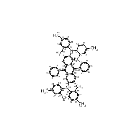 CC1=CC(C)C(N(c2ccc3c(-c4ccccc4)c4cc(N(c5ccc(C)cc5C)c5ccc(C)cc5C)ccc4c(-c4ccccc4)c3c2)c2ccc(C)cc2C)C=C1